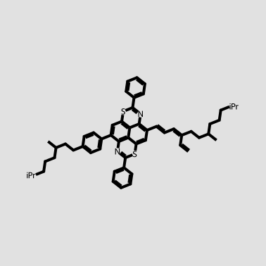 C=C/C(=C\C=C\c1cc2c3c(c(-c4ccc(CCC(C)CCCC(C)C)cc4)cc4c3c1N=C(c1ccccc1)S4)N=C(c1ccccc1)S2)CCC(C)CCCC(C)C